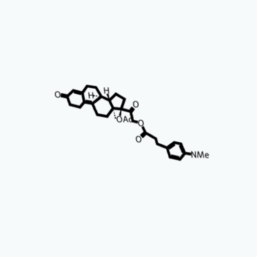 CNc1ccc(CCC(=O)OCC(=O)[C@@]2(OC(C)=O)CC[C@H]3[C@@H]4CCC5=CC(=O)CCC5=C4CC[C@@]32C)cc1